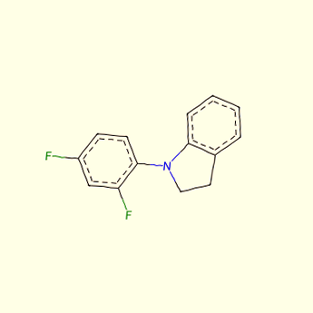 Fc1ccc(N2CCc3ccccc32)c(F)c1